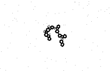 c1ccc2cc(-n3c4ccccc4c4cc(-c5ccc6c(c5)c5ccccc5n6-c5ccc6oc7cc8oc9ccc%10c%11ccccc%11sc%10c9c8cc7c6c5)ccc43)ccc2c1